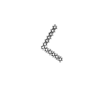 c1ccccc1.c1ccccc1.c1ccccc1.c1ccccc1.c1ccccc1.c1ccccc1.c1ccccc1.c1ccccc1.c1ccccc1.c1ccccc1.c1ccccc1.c1ccccc1